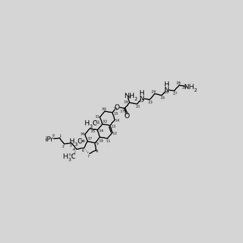 CC(C)CCC[C@@H](C)[C@H]1CCC2C3CC=C4CC(OC(=O)C(N)CNCCCNCCN)CC[C@]4(C)C3CC[C@@]21C